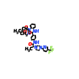 CC(C(=O)Nc1ccc(C(=O)Nc2ccccc2NC(=O)OC(C)(C)C)cc1)N1CCN(c2ccc(C(F)(F)F)cn2)CC1